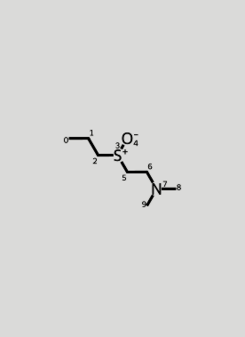 CCC[S+]([O-])CCN(C)C